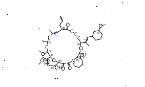 C=CC[C@@H]1/C=C(\C)C[C@H](C)C[C@H](OC)[C@@]2(NC)O[C@@](O)(C(=O)C(=O)N3CCCC[C@H]3C(=O)O[C@H](/C(C)=C/C3CCC[C@H](OC)C3)CCCC1=O)[C@H](C)C[C@@H]2OC